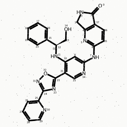 O=C1NCc2nc(Nc3cc(N[C@H](CO)c4ccccc4)c(-c4nc(-c5ccccn5)no4)cn3)ccc21